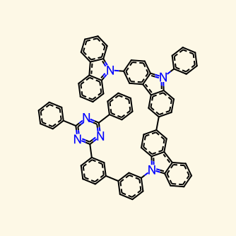 c1ccc(-c2nc(-c3ccccc3)nc(-c3cccc(-c4cccc(-n5c6ccccc6c6cc(-c7ccc8c(c7)c7cc(-n9c%10ccccc%10c%10ccccc%109)ccc7n8-c7ccccc7)ccc65)c4)c3)n2)cc1